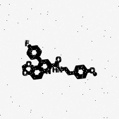 COc1ccc(CCNC(=O)c2cc(-c3ccc(F)cc3)c3c4c(ccc3n2)OCO4)cc1